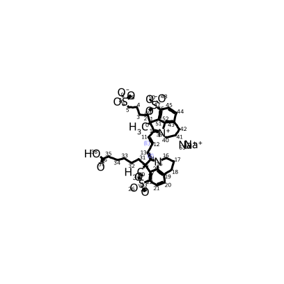 CC1(CCCCS(=O)(=O)[O-])C(/C=C/C=C2\N3CCCc4ccc(S(=O)(=O)[O-])c(c43)C2(C)CCCCCC(=O)O)=[N+]2CCCc3ccc(S(=O)(=O)[O-])c1c32.[Na+].[Na+]